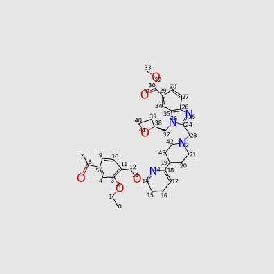 CCOc1cc(C(C)=O)ccc1COc1cccc(C2CCN(Cc3nc4ccc(C(=O)OC)cc4n3C[C@@H]3CCO3)CC2)n1